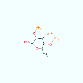 CC1OC(O)C(OP)C(P=O)C1OP